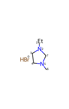 Br.CCN1CCN(C)C1